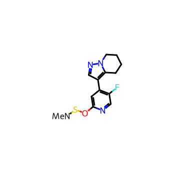 CNSOc1cc(-c2cnn3c2CCCC3)c(F)cn1